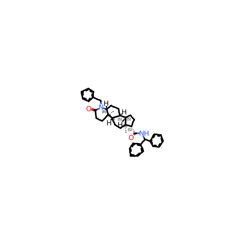 C[C@]12CC[C@H]3[C@@H](CC[C@H]4N(Cc5ccccc5)C(=O)CC[C@]34C)[C@@H]1CC[C@@H]2C(=O)NC(c1ccccc1)c1ccccc1